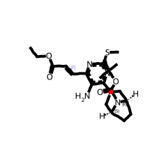 CCOC(=O)/C=C/c1nc(SC)nc(N2C[C@H]3CC[C@@H](C2)N3C(=O)OC(C)(C)C)c1N